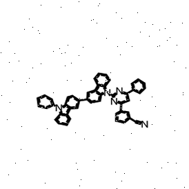 N#Cc1cccc(-c2cc(-c3ccccc3)nc(-n3c4ccccc4c4cc(-c5ccc6c(c5)c5ccccc5n6-c5ccccc5)ccc43)n2)c1